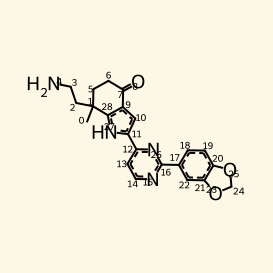 CC1(CCN)CCC(=O)c2cc(-c3ccnc(-c4ccc5c(c4)OCO5)n3)[nH]c21